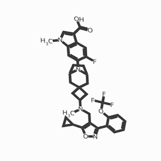 CN(Cc1c(-c2ccccc2OC(F)(F)F)noc1C1CC1)C1CC2(C1)CC1CCC(C2)N1c1cc2c(cc1F)c(C(=O)O)cn2C